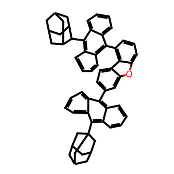 c1cc(-c2c3ccccc3c(C3C4CC5CC(C4)CC3C5)c3ccccc23)c2c(c1)oc1cc(-c3c4ccccc4c(C45CC6CC(CC(C6)C4)C5)c4ccccc34)ccc12